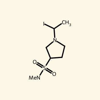 CNS(=O)(=O)C1CCN(C(C)I)C1